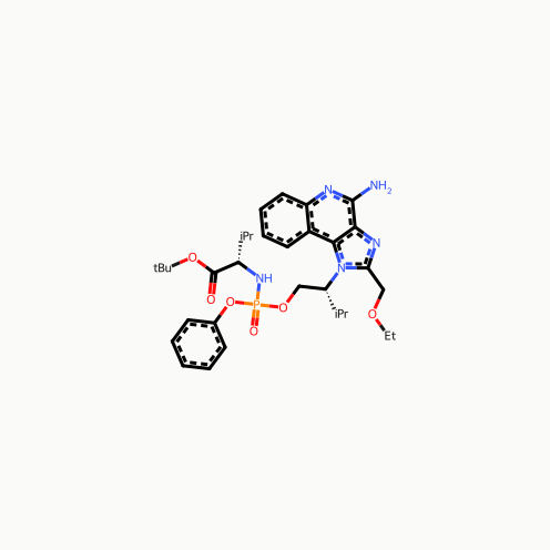 CCOCc1nc2c(N)nc3ccccc3c2n1[C@@H](COP(=O)(N[C@H](C(=O)OC(C)(C)C)C(C)C)Oc1ccccc1)C(C)C